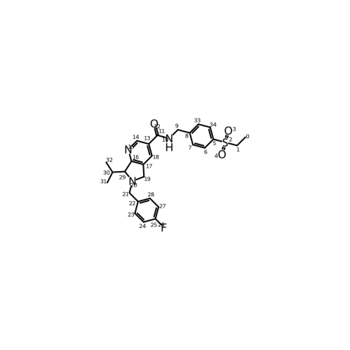 CCS(=O)(=O)c1ccc(CNC(=O)c2cnc3c(c2)CN(Cc2ccc(F)cc2)C3C(C)C)cc1